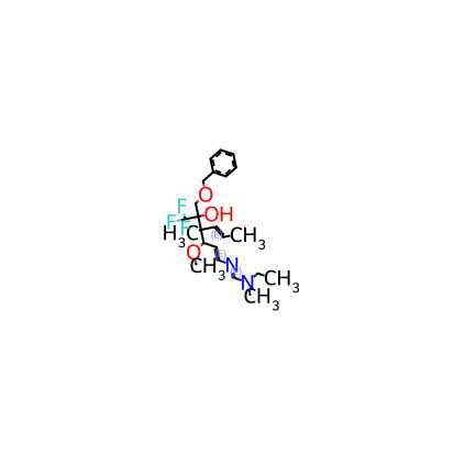 C/C=C/C(C)(C(/C=C/N=C/N(C)CC)OC)C(O)(COCc1ccccc1)C(F)(F)F